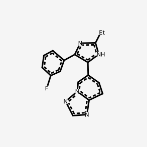 CCc1nc(-c2cccc(F)c2)c(-c2ccc3ncnn3c2)[nH]1